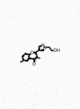 Cc1ccc2oc(-c3cnn(CCO)c3)c(C)c(=O)c2c1